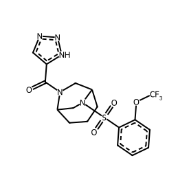 O=C(c1cnn[nH]1)N1CC2CCCC1CN2S(=O)(=O)c1ccccc1OC(F)(F)F